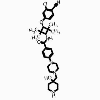 CC1(C)[C@H](NC(=O)c2ccc(N3CCN(CC4(O)CCNCC4)CC3)cc2)C(C)(C)[C@H]1Oc1ccc(C#N)c(Cl)c1